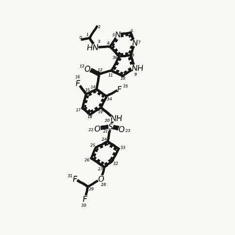 CC(C)Nc1ncnc2[nH]cc(C(=O)c3c(F)ccc(NS(=O)(=O)c4ccc(OC(F)F)cc4)c3F)c12